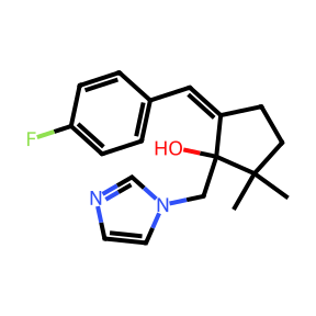 CC1(C)CCC(=Cc2ccc(F)cc2)C1(O)Cn1ccnc1